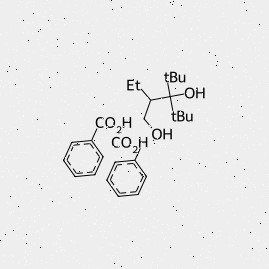 CCC(CO)C(O)(C(C)(C)C)C(C)(C)C.O=C(O)c1ccccc1.O=C(O)c1ccccc1